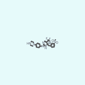 CS(=O)(=O)c1cccc(CC2(N)NC(Nc3ccc(N4CCNCC4)cc3)=NC=C2C(F)(F)F)c1